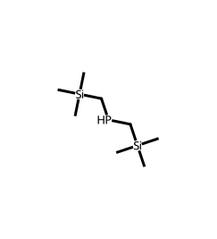 C[Si](C)(C)CPC[Si](C)(C)C